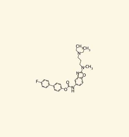 CCN(CC)CCCN(C)c1nc2cc(NC(=O)Oc3ccc(-c4ccc(F)cc4)cc3)ccc2o1